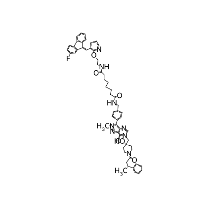 C[C@H](CC(=O)N1CCC(O)(Cn2cnc3c(-c4ccc(CNC(=O)CCCCCCC(=O)NCCOc5ncccc5C=C5c6ccccc6-c6ccc(F)cc65)cc4)n(C)nc3c2=O)CC1)c1ccccc1